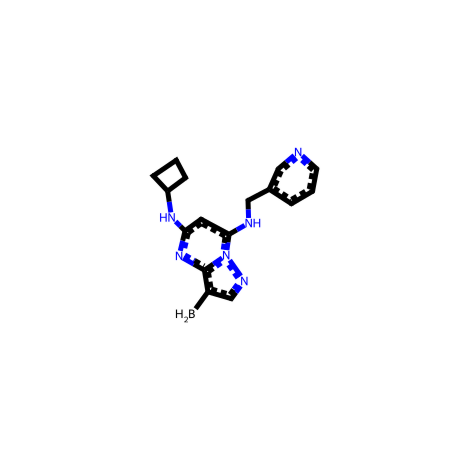 Bc1cnn2c(NCc3cccnc3)cc(NC3CCC3)nc12